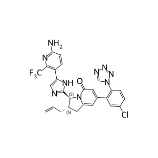 C=CC[C@H]1Cc2cc(-c3cc(Cl)ccc3-n3cnnn3)cc(=O)n2[C@@H]1c1ncc(-c2ccc(N)nc2C(F)(F)F)[nH]1